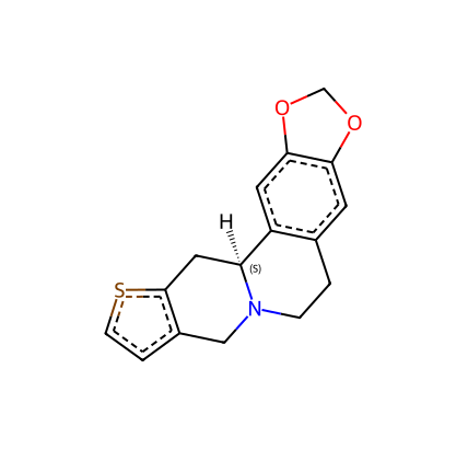 c1cc2c(s1)C[C@H]1c3cc4c(cc3CCN1C2)OCO4